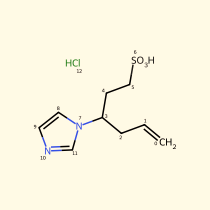 C=CCC(CCS(=O)(=O)O)n1ccnc1.Cl